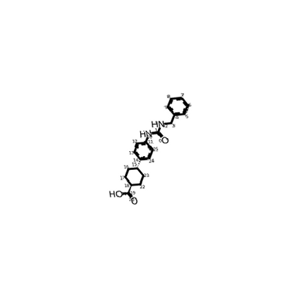 O=C(NCc1ccccc1)Nc1ccc([C@H]2CC[C@H](C(=O)O)CC2)cc1